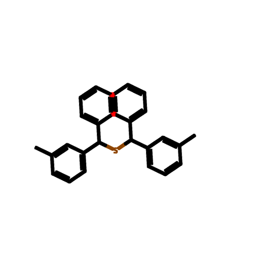 Cc1cccc(C(SC(c2ccccc2)c2cccc(C)c2)c2ccccc2)c1